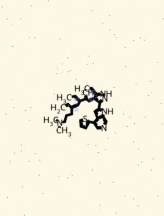 C=C/C(=C\C(=C/C)C(=C)/C=c1/c(-c2cc3c(-c4cccs4)cncc3[nH]2)n[nH]/c1=C/C)CCCN(C)C